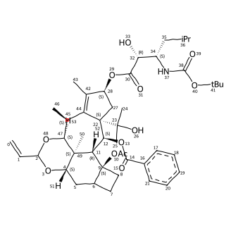 C=CC1O[C@H]2CC3CC[C@@]3(OC(C)=O)[C@H]3[C@H](OC(=O)c4ccccc4)[C@]4(C(C)(C)O)C[C@H](OC(=O)[C@H](O)[C@H](CC(C)C)NC(=O)OC(C)(C)C)C(C)=C4[C@H](C)[C@H](O1)[C@]23C